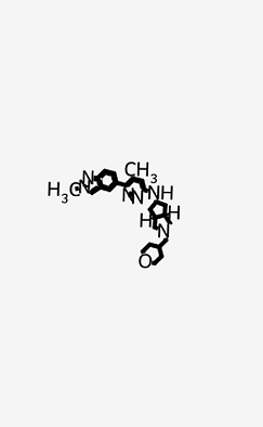 Cc1cc(NC2C[C@@H]3CN(CC4CCOCC4)C[C@@H]3C2)nnc1-c1ccc2nn(C)cc2c1